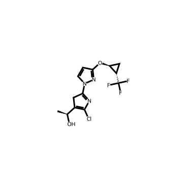 C[C@H](O)C1=C(Cl)N=C(n2ccc(O[C@H]3C[C@@H]3C(F)(F)F)n2)C1